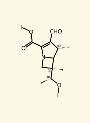 C[C@H]1C(C=O)=C(C(=O)OI)N2C[C@](C)([C@@H](C)OI)C12